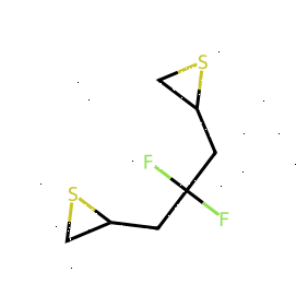 FC(F)(CC1CS1)CC1CS1